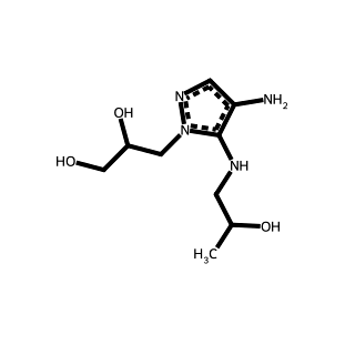 CC(O)CNc1c(N)cnn1CC(O)CO